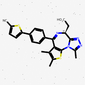 Cc1sc2c(c1C)C(c1ccc(-c3ccc(C#N)s3)cc1)=N[C@@H](CC(=O)O)c1nnc(C)n1-2